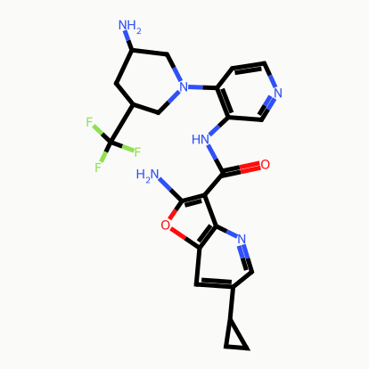 Nc1oc2cc(C3CC3)cnc2c1C(=O)Nc1cnccc1N1CC(N)CC(C(F)(F)F)C1